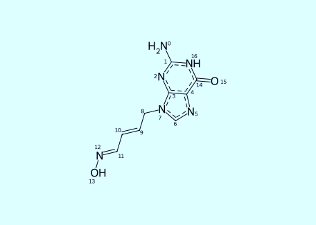 Nc1nc2c(ncn2CC=CC=NO)c(=O)[nH]1